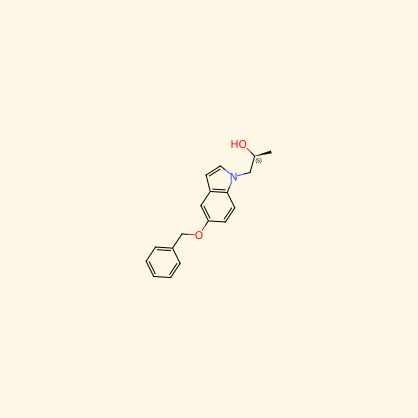 C[C@H](O)Cn1ccc2cc(OCc3ccccc3)ccc21